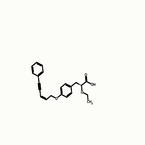 CCO[C@@H](Cc1ccc(OC/C=C\C#Cc2ccccc2)cc1)C(=O)O